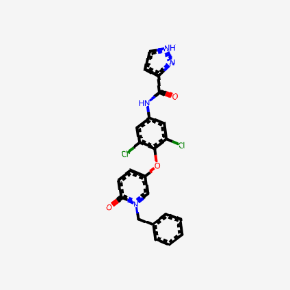 O=C(Nc1cc(Cl)c(Oc2ccc(=O)n(Cc3ccccc3)c2)c(Cl)c1)c1cc[nH]n1